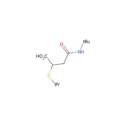 CC(C)SC(CC(=O)NC(C)(C)C)C(=O)O